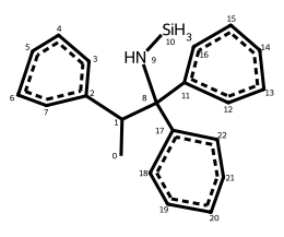 CC(c1ccccc1)C(N[SiH3])(c1ccccc1)c1ccccc1